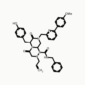 C=CCN1CC(=O)N2C(CN(Cc3cccc(-c4ccc(OC)cc4)n3)C(=O)[C@@H]2Cc2ccc(O)cc2)N1C(=O)NCc1ccccc1